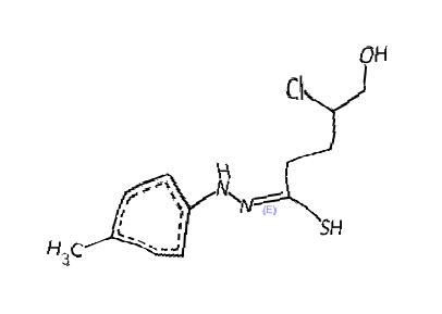 Cc1ccc(N/N=C(/S)CCC(Cl)CO)cc1